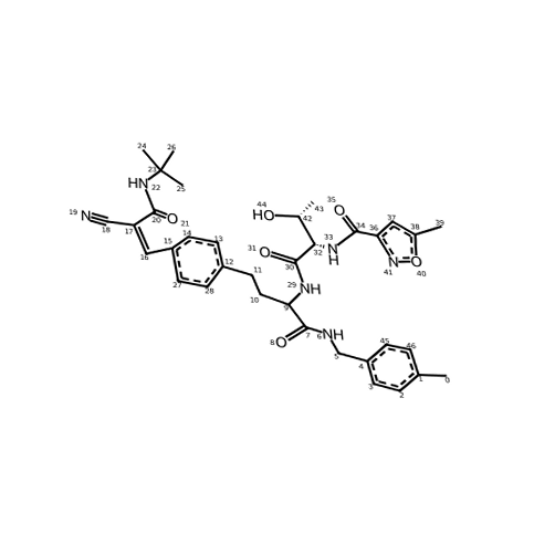 Cc1ccc(CNC(=O)C(CCc2ccc(C=C(C#N)C(=O)NC(C)(C)C)cc2)NC(=O)[C@@H](NC(=O)c2cc(C)on2)[C@@H](C)O)cc1